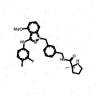 COc1cccc2c1c(Nc1ccc(C)c(F)c1)nn2Cc1cccc(CNC(=O)[C@]2(C)CCCN2)c1